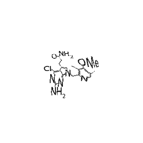 COc1c(C)cnc(Cn2cc(CCC(N)=O)c3c(Cl)nc(N)nc32)c1C